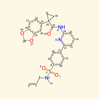 C=CCN(C)S(=O)(=O)c1ccc(-c2cccc(NC(=O)C3(c4ccc5c(c4)OCO5)CC3)n2)cc1